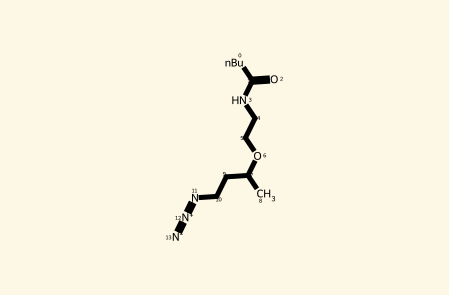 CCCCC(=O)NCCOC(C)CCN=[N+]=[N-]